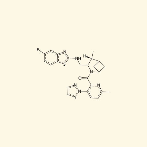 Cc1ccc(-n2nccn2)c(C(=O)N2C3CC(C3)[C@@H](C)C2CNc2nc3cc(F)ccc3s2)n1